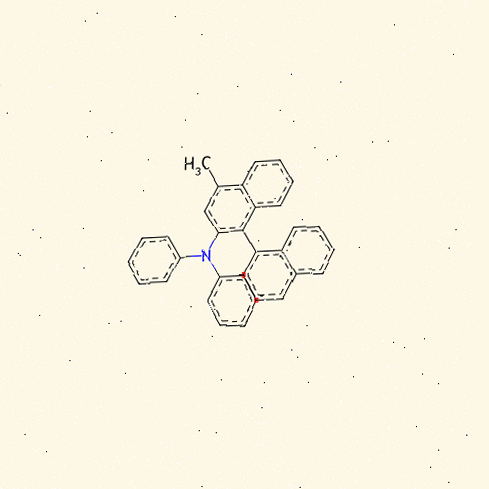 Cc1cc(N(c2ccccc2)c2ccccc2)c(-c2cccc3ccccc23)c2ccccc12